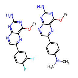 CCOc1nc(N)nc2ncc(-c3ccc(F)c(F)c3)nc12.CCOc1nc(N)nc2ncc(-c3ccc(N(C)C)cc3)nc12